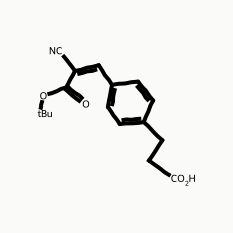 CC(C)(C)OC(=O)/C(C#N)=C\c1ccc(CCC(=O)O)cc1